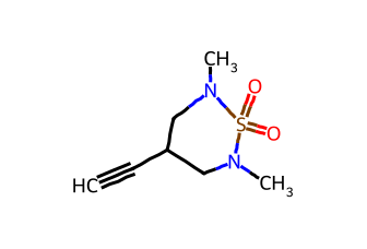 C#CC1CN(C)S(=O)(=O)N(C)C1